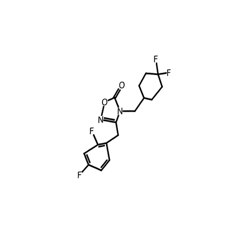 O=c1onc(Cc2ccc(F)cc2F)n1CC1CCC(F)(F)CC1